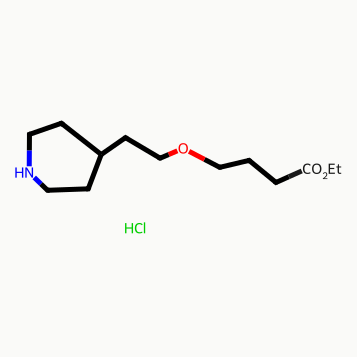 CCOC(=O)CCCOCCC1CCNCC1.Cl